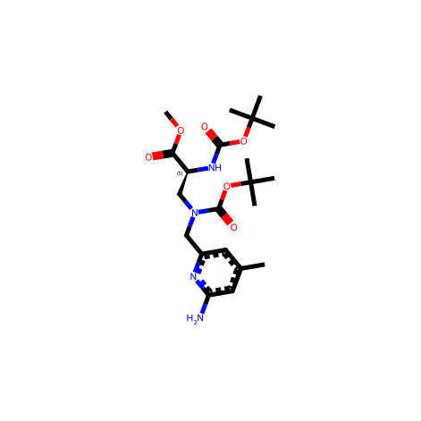 COC(=O)[C@H](CN(Cc1cc(C)cc(N)n1)C(=O)OC(C)(C)C)NC(=O)OC(C)(C)C